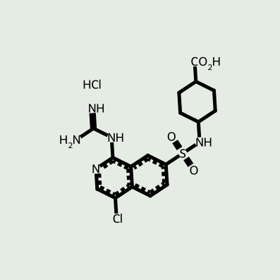 Cl.N=C(N)Nc1ncc(Cl)c2ccc(S(=O)(=O)NC3CCC(C(=O)O)CC3)cc12